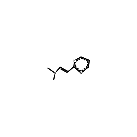 CN(C)C=Cc1ncccn1